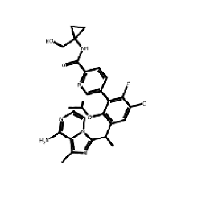 Cc1nc(C(C)c2cc(Cl)c(F)c(-c3ccc(C(=O)NC4(CO)CC4)nc3)c2OC(C)C)n2ccnc(N)c12